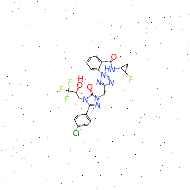 O=C(NC1CC1F)c1ccccc1-n1cnc(Cn2nc(-c3ccc(Cl)cc3)n(C[C@H](O)C(F)(F)F)c2=O)n1